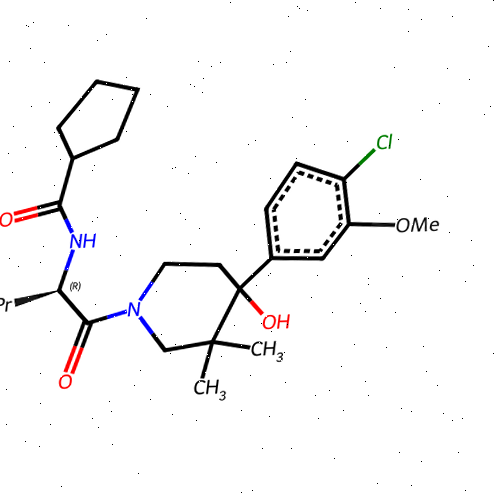 COc1cc(C2(O)CCN(C(=O)[C@H](NC(=O)C3CCCC3)C(C)C)CC2(C)C)ccc1Cl